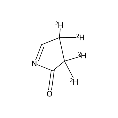 [2H]C1([2H])C=NC(=O)C1([2H])[2H]